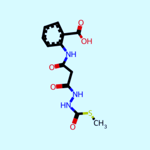 CSC(=O)NNC(=O)CC(=O)Nc1ccccc1C(=O)O